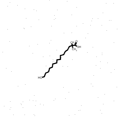 CC(C)(CCCCCCCCCCCCCCO)C(=O)O